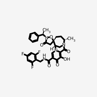 C[C@H](c1ccccc1)N1O[C@@]2(CC[C@H](C)N3C[C@H]2n2cc(C(=O)NCc4c(F)cc(F)cc4F)c(=O)c(O)c2C3=O)CC1=O